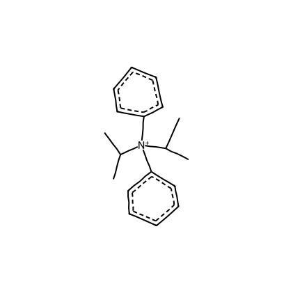 CC(C)[N+](c1ccccc1)(c1ccccc1)C(C)C